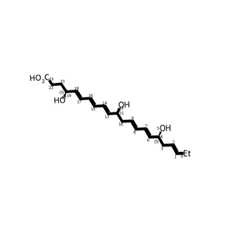 CCC=CC[C@H](O)C=CC=CCC(O)C=CC=CC=C[C@@H](O)CCC(=O)O